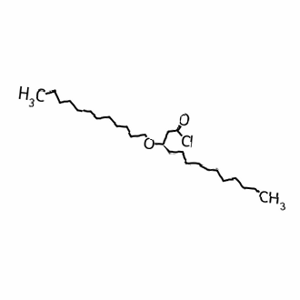 CCCCCCCCCCCCO[C@H](CCCCCCCCCCC)CC(=O)Cl